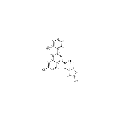 CCN1CCC(CN(C)c2nc(-c3ccccc3O)nc3cc(Cl)ccc23)C1